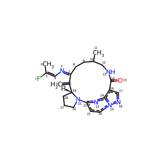 C=C1/C(=N\C=C(/C)F)CCC(C)CNC(=O)c2cnn3ccc(nc23)N2CCC[C@H]12